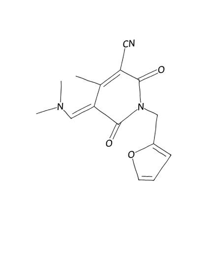 CC1=C(C#N)C(=O)N(Cc2ccco2)C(=O)C1=CN(C)C